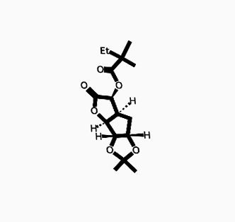 CCC(C)(C)C(=O)O[C@@H]1C(=O)O[C@H]2[C@@H]1C[C@@H]1OC(C)(C)O[C@H]21